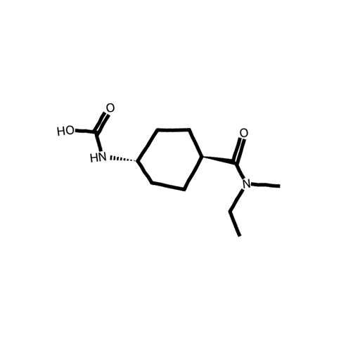 CCN(C)C(=O)[C@H]1CC[C@H](NC(=O)O)CC1